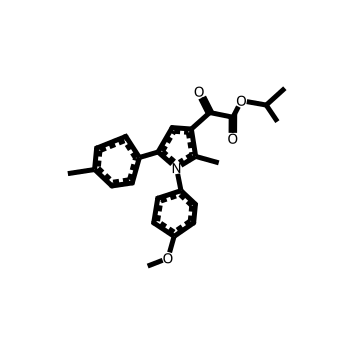 COc1ccc(-n2c(-c3ccc(C)cc3)cc(C(=O)C(=O)OC(C)C)c2C)cc1